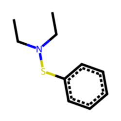 CCN(CC)Sc1ccccc1